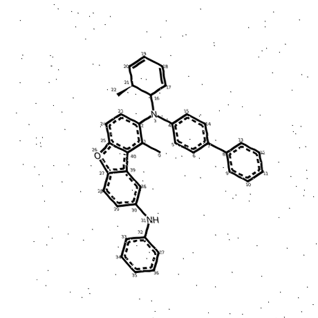 Cc1c(N(c2ccc(-c3ccccc3)cc2)C2C=CC=C[C@@H]2C)ccc2oc3ccc(Nc4ccccc4)cc3c12